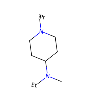 CCN(C)C1CCN(C(C)C)CC1